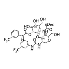 CCCCCCCCCCC(=O)N[C@H]1C(CO)OCC(NC(=O)Nc2cccc(C(F)(F)F)c2)[C@H]1O[C@H]1OC(CO)[C@H](O)[C@H](O)C1OC(=O)Nc1cccc(C(F)(F)F)c1